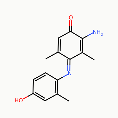 CC1=CC(=O)C(N)=C(C)C1=Nc1ccc(O)cc1C